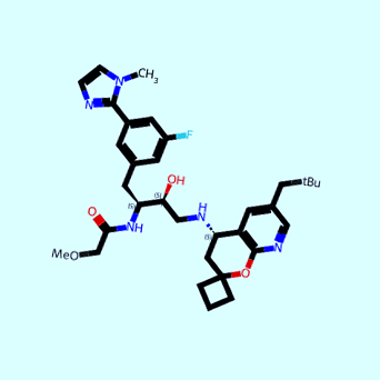 COCC(=O)N[C@@H](Cc1cc(F)cc(-c2nccn2C)c1)[C@@H](O)CN[C@H]1CC2(CCC2)Oc2ncc(CC(C)(C)C)cc21